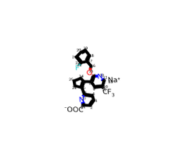 O=C([O-])c1cccc(C2=C(c3cc(C(F)(F)F)cnc3OCc3ccccc3F)CCC2)n1.[Na+]